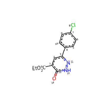 CCOC(=O)c1cc(-c2ccc(Cl)cc2)n[nH]c1=O